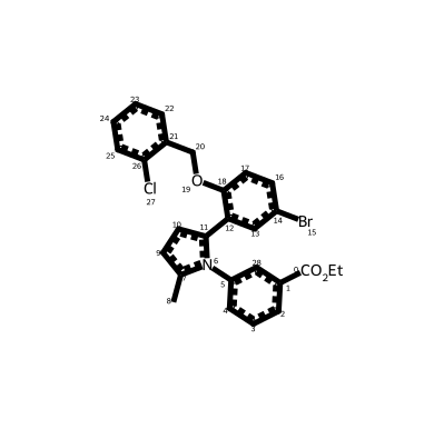 CCOC(=O)c1cccc(-n2c(C)ccc2-c2cc(Br)ccc2OCc2ccccc2Cl)c1